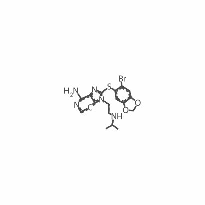 CC(C)NCCn1c(Sc2cc3c(cc2Br)OCO3)nc2c(N)nccc21